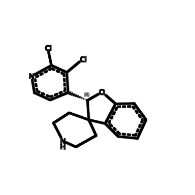 Clc1nccc([C@@H]2Oc3ccccc3C23CCNCC3)c1Cl